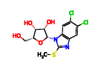 CSc1nc2cc(Cl)c(Cl)cc2n1[C@@H]1O[C@H](CO)[C@H](O)[C@@H]1O